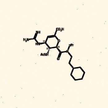 CCCN(CCC1CCCCC1)C(=O)[C@@H]1OC(C(=O)O)=C[C@H](NC(=N)N)[C@H]1NC(C)=O